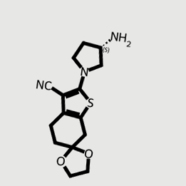 N#Cc1c(N2CC[C@H](N)C2)sc2c1CCC1(C2)OCCO1